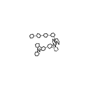 C1=CC2c3cc(-c4ccc5c(c4)c4ccccc4n5-c4ccccc4)ccc3N(c3nccc(-c4cccc(-c5ccc(-c6ccc(-c7ccccc7)cc6)cc5)c4)n3)C2C=C1